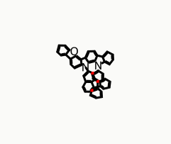 c1ccc(-c2ccc(-n3c4ccccc4c4ccc5c6c7oc8ccccc8c7ccc6n(-c6cc7c8c(cccc8c6)-c6ccccc6-7)c5c43)cc2)cc1